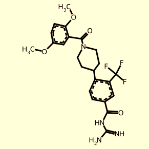 COc1ccc(OC)c(C(=O)N2CCC(c3ccc(C(=O)NC(=N)N)cc3C(F)(F)F)CC2)c1